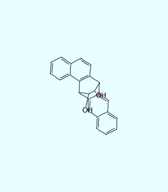 OC1C2c3cc4ccccc4cc3C(c3c2ccc2ccccc32)C1O